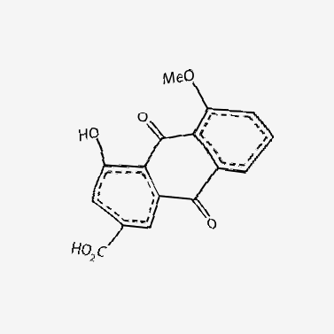 COc1cccc2c1C(=O)c1c(O)cc(C(=O)O)cc1C2=O